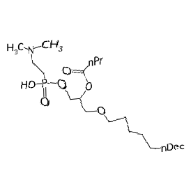 CCCCCCCCCCCCCCCOCC(COP(=O)(O)CCN(C)C)OC(=O)CCC